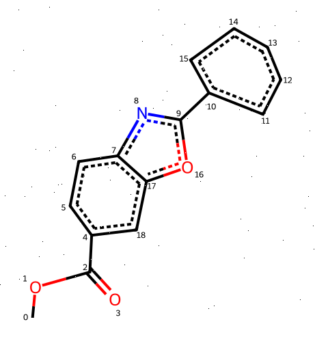 COC(=O)c1ccc2nc(-c3ccccc3)oc2c1